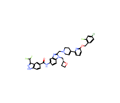 O=C(Nc1ccc2c(c1)nc(CN1CC=C(c3cccc(OCc4ccc(Cl)cc4F)n3)CC1)n2C[C@@H]1CCO1)c1ccc2[nH]nc(C(F)F)c2c1